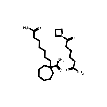 NC(=O)CCCCC(=O)N1CCC1.NC(=O)CCCCCCC1(C(N)=O)CCCCCC1